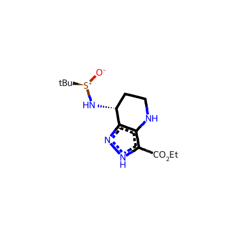 CCOC(=O)c1[nH]nc2c1NCC[C@H]2N[S@+]([O-])C(C)(C)C